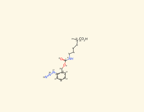 C[C@@H](CCCCNC(=O)OCc1ccccc1N=[N+]=[N-])C(=O)O